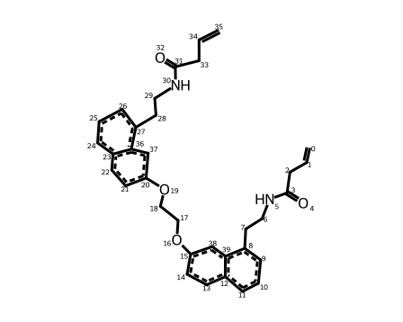 C=CCC(=O)NCCc1cccc2ccc(OCCOc3ccc4cccc(CCNC(=O)CC=C)c4c3)cc12